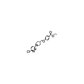 CCOC(=O)c1ccc(OCC2CCN(c3ccc(Cl)nn3)CC2)cc1